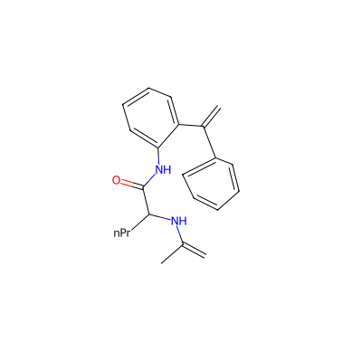 C=C(C)NC(CCC)C(=O)Nc1ccccc1C(=C)c1ccccc1